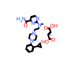 CN(CCN1CCN(c2ccccc2C2CC2)CC1)c1nccc(C(N)=O)n1.O=C(O)/C=C/C(=O)O